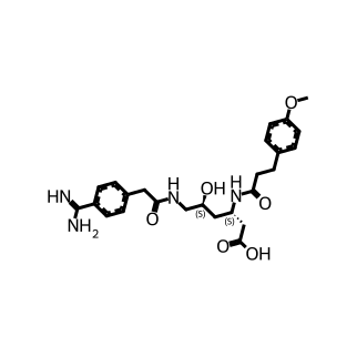 COc1ccc(CCC(=O)N[C@H](CC(=O)O)C[C@H](O)CNC(=O)Cc2ccc(C(=N)N)cc2)cc1